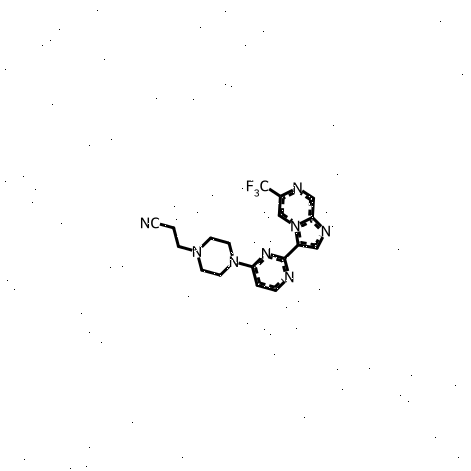 N#CCCN1CCN(c2ccnc(-c3cnc4cnc(C(F)(F)F)cn34)n2)CC1